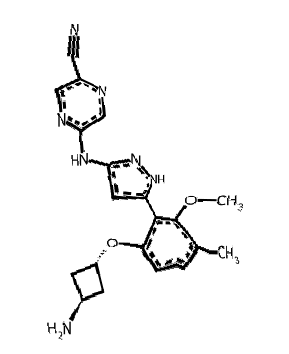 COc1c(C)ccc(O[C@H]2C[C@H](N)C2)c1-c1cc(Nc2cnc(C#N)cn2)n[nH]1